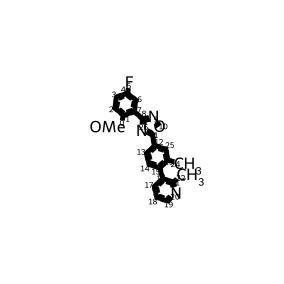 COc1ccc(F)cc1-c1noc(-c2ccc(-c3cccnc3C)c(C)c2)n1